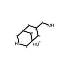 Cl.OCC1CC2CNCC(C1)C2